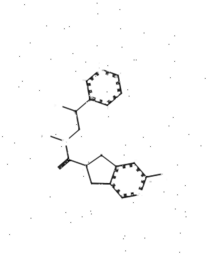 CCCN(CC(O)c1cccnc1)C(=O)C1Cc2cnc(C(F)(F)F)cc2C1